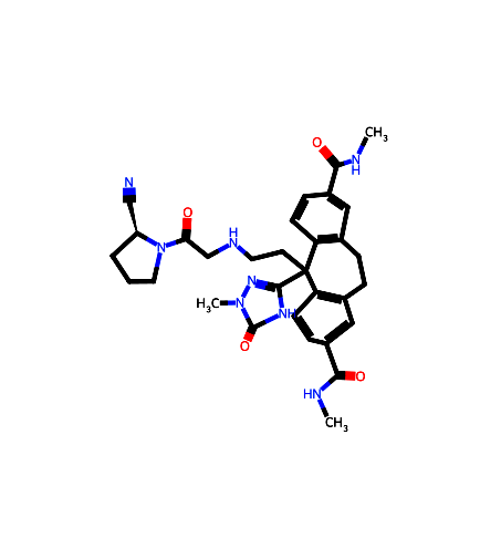 CNC(=O)c1ccc2c(c1)CCc1cc(C(=O)NC)ccc1C2(CCNCC(=O)N1CCC[C@H]1C#N)c1nn(C)c(=O)[nH]1